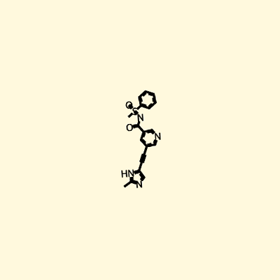 Cc1ncc(C#Cc2cncc(C(=O)N=S(C)(=O)c3ccccc3)c2)[nH]1